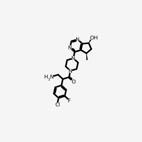 C[C@@H]1C[C@H](O)c2ncnc(N3CCN(C(=O)C(CN)c4ccc(Cl)c(F)c4)CC3)c21